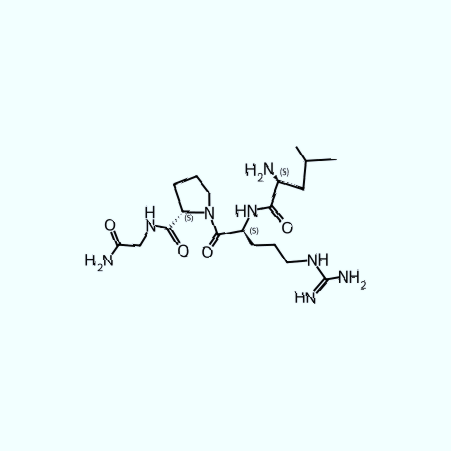 CC(C)C[C@H](N)C(=O)N[C@@H](CCCNC(=N)N)C(=O)N1CCC[C@H]1C(=O)NCC(N)=O